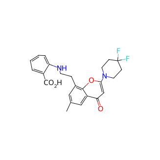 Cc1cc(CCNc2ccccc2C(=O)O)c2oc(N3CCC(F)(F)CC3)cc(=O)c2c1